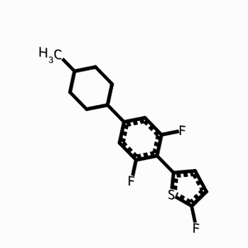 CC1CCC(c2cc(F)c(-c3ccc(F)s3)c(F)c2)CC1